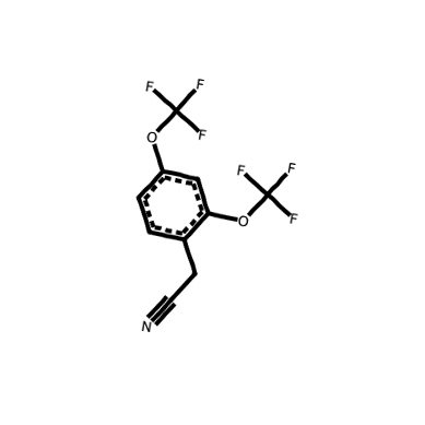 N#CCc1ccc(OC(F)(F)F)cc1OC(F)(F)F